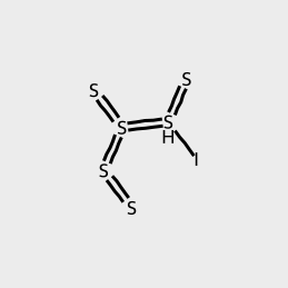 S=S=S(=S)=[SH](=S)I